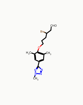 Cc1cc(-c2nnn(C)n2)cc(C)c1OCCCC(Br)CC=O